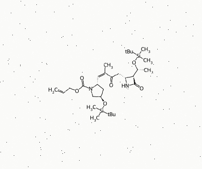 C=CCOC(=O)N1C[C@H](O[Si](C)(C)C(C)(C)C)C[C@H]1C=C(C)C(=O)C[C@H]1NC(=O)[C@@H]1[C@@H](C)O[Si](C)(C)C(C)(C)C